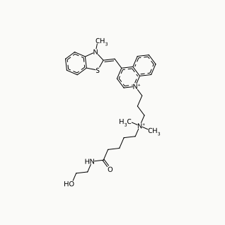 CN1/C(=C/c2cc[n+](CCC[N+](C)(C)CCCCC(=O)NCCO)c3ccccc23)Sc2ccccc21